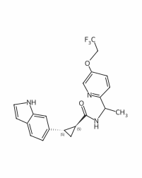 CC(NC(=O)[C@H]1C[C@@H]1c1ccc2cc[nH]c2c1)c1ccc(OCC(F)(F)F)cn1